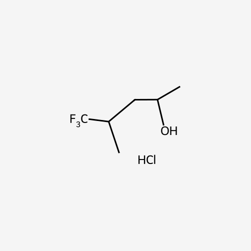 CC(O)CC(C)C(F)(F)F.Cl